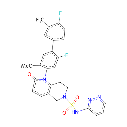 COc1cc(-c2ccc(F)c(C(F)(F)F)c2)c(F)cc1-n1c2c(ccc1=O)CN(S(=O)(=O)Nc1cccnn1)CC2